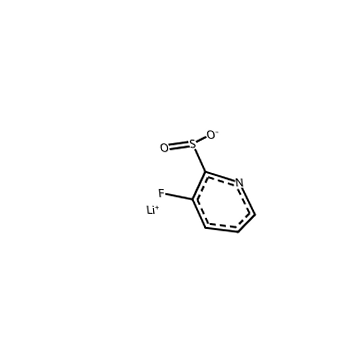 O=S([O-])c1ncccc1F.[Li+]